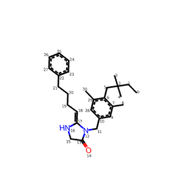 CCC(C)(C)Cc1c(C)cc(CN2C(=O)CN/C2=C\CCCc2ccccc2)cc1C